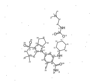 CN(C)CCNC(=O)O[C@H]1CC[C@H](Nc2cc(-n3c4c(c5c3CC(C)(C)CS5(=O)=O)CCC4)cc(F)c2C(N)=O)CC1